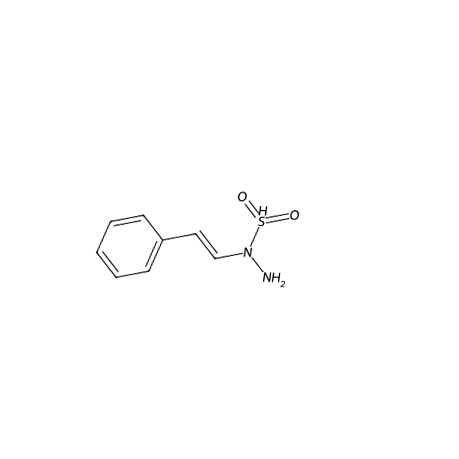 NN(C=Cc1ccccc1)[SH](=O)=O